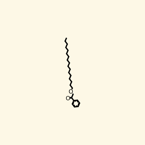 CCCCCCCCCCCCCCCCCOCC(=O)c1ccccc1